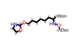 CCCCCCCCCCONC(CCCCCCCCC)CCCCCCOC1NCCO1